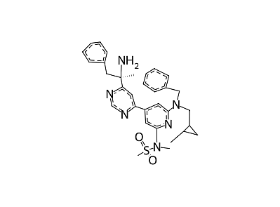 CC1CC1CN(Cc1ccccc1)c1cc(-c2cc([C@](C)(N)Cc3ccccc3)ncn2)cc(N(C)S(C)(=O)=O)n1